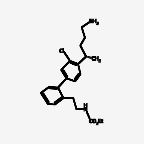 CCOC(=O)NCCc1ccccc1-c1ccc([C@@H](C)CCCN)c(Cl)c1